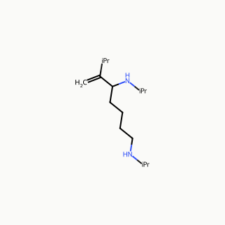 C=C(C(C)C)C(CCCCNC(C)C)NC(C)C